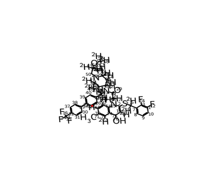 [2H]C1=C(SC([2H])([2H])c2cccc(F)c2F)N(C([2H])([2H])C(=O)N(C([2H])([2H])c2ccc(-c3ccc(C(F)(F)F)cc3)cc2)C2([2H])C([2H])([2H])C([2H])([2H])N(CC([2H])([2H])OC([2H])([2H])[2H])C([2H])([2H])C2([2H])[2H])c2c([2H])c([2H])c(C)c([2H])c2C1O